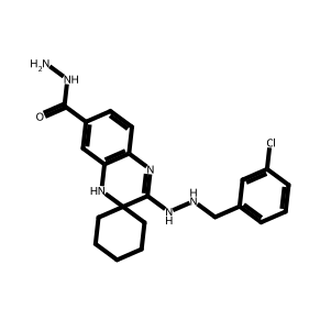 NNC(=O)c1ccc2c(c1)NC1(CCCCC1)C(NNCc1cccc(Cl)c1)=N2